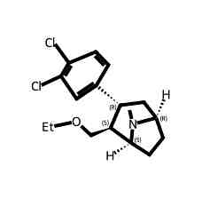 CCOC[C@H]1[C@H](c2ccc(Cl)c(Cl)c2)C[C@H]2CC[C@@H]1N2C